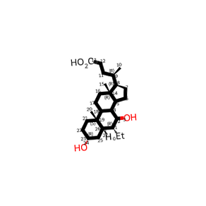 CC[C@H]1C(O)C2C3CC[C@H]([C@H](C)CCC(=O)O)[C@@]3(C)CCC2[C@@]2(C)CC[C@@H](O)C[C@H]12